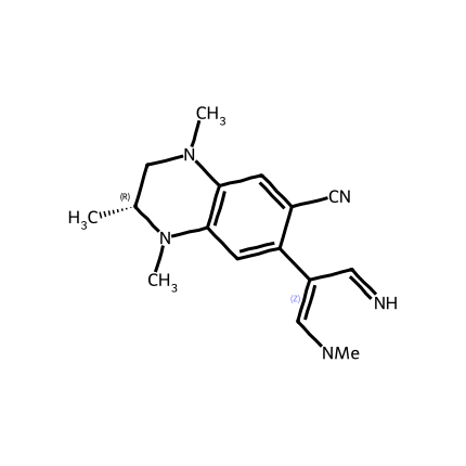 CN/C=C(\C=N)c1cc2c(cc1C#N)N(C)C[C@@H](C)N2C